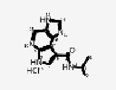 CC(C)NC(=O)c1c[nH]c2ncc3[nH]cnc3c12.Cl